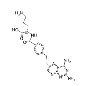 NCCC[C@H](NC(=O)c1ccc(CCc2cnc3nc(N)nc(N)c3n2)cc1)C(=O)O